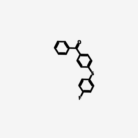 O=C(c1ccccc1)c1ccc(Sc2ccc(F)cc2)cc1